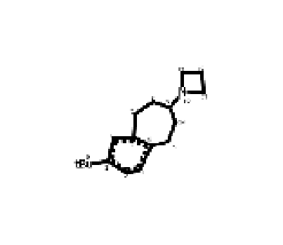 CC(C)(C)c1ccc2c(c1)CCC(N1CCC1)CC2